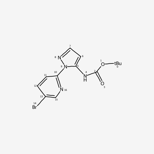 CC(C)(C)OC(=O)Nc1ccnn1-c1ccc(Br)cn1